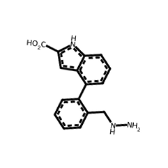 NNCc1ccccc1-c1cccc2[nH]c(C(=O)O)cc12